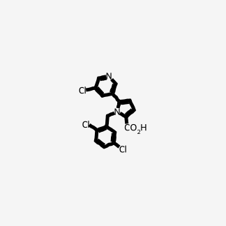 O=C(O)c1ccc(-c2cncc(Cl)c2)n1Cc1cc(Cl)ccc1Cl